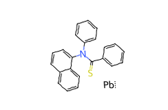 S=C(c1ccccc1)N(c1ccccc1)c1cccc2ccccc12.[Pb]